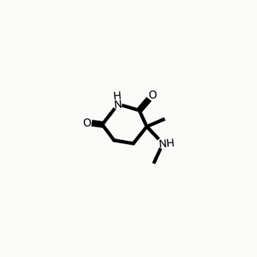 CNC1(C)CCC(=O)NC1=O